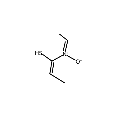 C/C=C(S)\[N+]([O-])=C/C